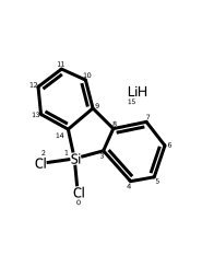 Cl[Si]1(Cl)c2ccccc2-c2ccccc21.[LiH]